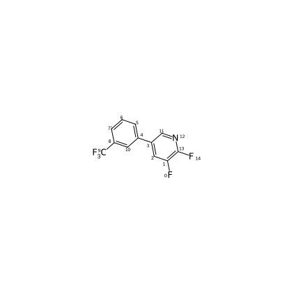 Fc1cc(-c2cc[c]c(C(F)(F)F)c2)cnc1F